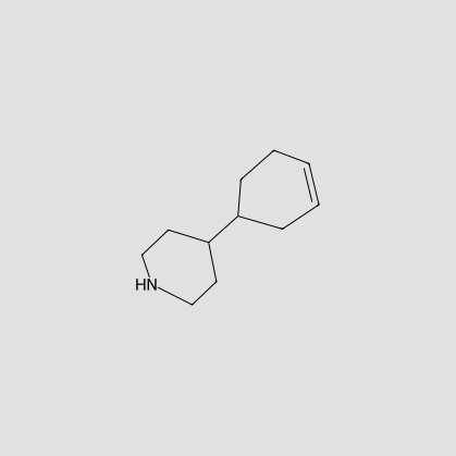 C1=CCC(C2CCNCC2)CC1